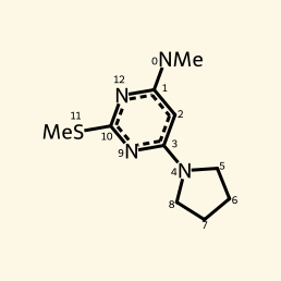 CNc1cc(N2CCCC2)nc(SC)n1